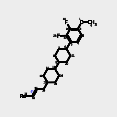 COc1ccc(C2CCC(C3CCC(C/C=[CH]/[Re])CC3)CC2)c(F)c1F